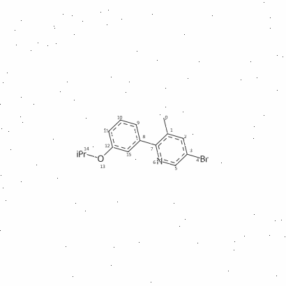 Cc1cc(Br)cnc1-c1cccc(OC(C)C)c1